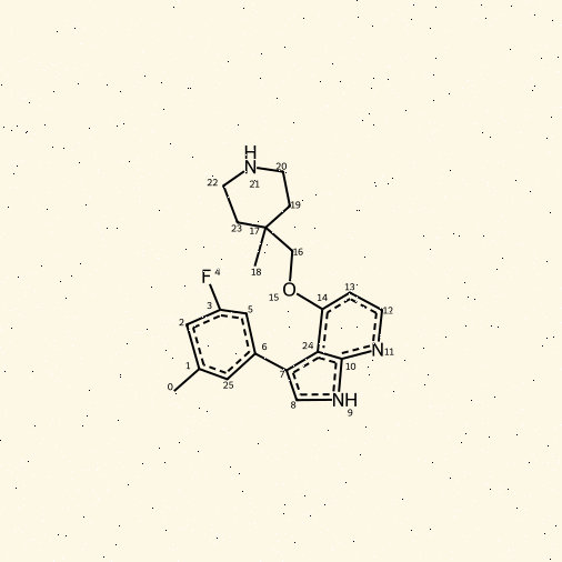 Cc1cc(F)cc(-c2c[nH]c3nccc(OCC4(C)CCNCC4)c23)c1